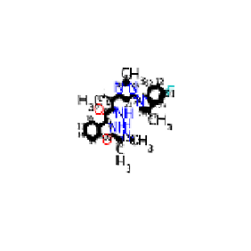 CC[C@H](C(=N)C(=O)[C@@H](NC(=O)[C@H](C)NC)C1CCCCC1)c1cc(-n2cc(C)c3cc(F)ccc32)nc(C)n1